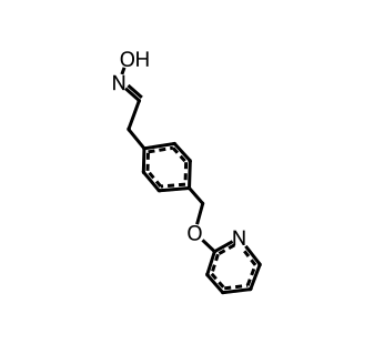 O/N=C/Cc1ccc(COc2ccccn2)cc1